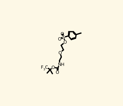 Cc1ccc(S(=O)(=O)OCCOCCNC(=O)OC(C)(C)C(F)(F)F)cc1